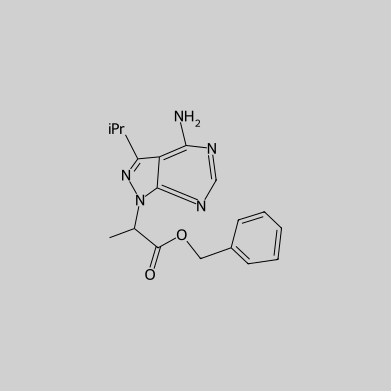 CC(C)c1nn(C(C)C(=O)OCc2ccccc2)c2ncnc(N)c12